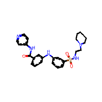 O=C(Nc1ccncc1)c1cccc(Nc2cccc(S(=O)(=O)NCCN3CCCCC3)c2)c1